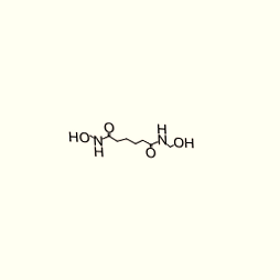 O=C(CCCCC(=O)NCO)NCO